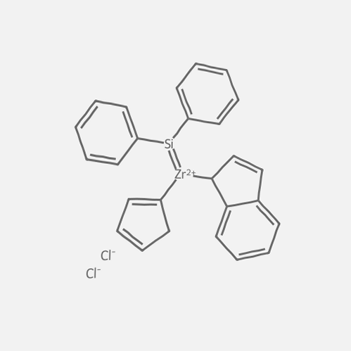 C1=CC[C]([Zr+2]([CH]2C=Cc3ccccc32)=[Si](c2ccccc2)c2ccccc2)=C1.[Cl-].[Cl-]